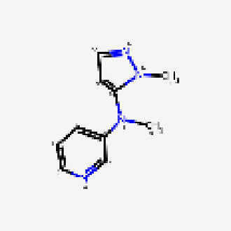 CN(c1cccnc1)c1ccnn1C